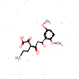 CCCC(C(=O)CC(=O)c1cc(OC)ccc1OC)C(=O)C(=O)O